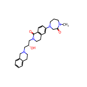 CN1CCCN(c2ccc3c(c2)CCN(C[C@H](O)CN2CCc4ccccc4C2)C3=O)CC1=O